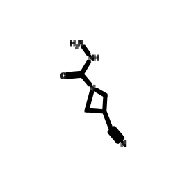 N#CC1CN(C(=O)NN)C1